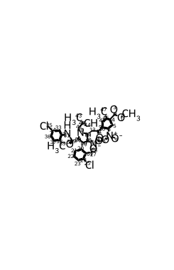 COC(=O)c1cc([N+](=O)[O-])c(C(=O)C[C@H]2[C@@H]([N+](=O)[O-])[C@H](c3cccc(Cl)c3F)[C@H](C(=O)Nc3cc(Cl)ccc3C)N2CC(C)C)cc1C